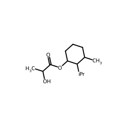 CC(O)C(=O)OC1CCCC(C)C1C(C)C